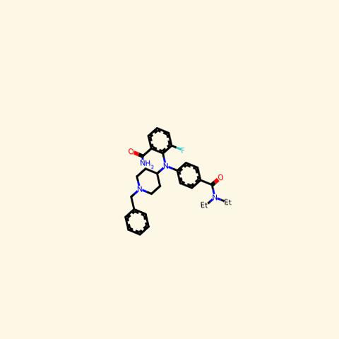 CCN(CC)C(=O)c1ccc(N(c2c(F)cccc2C(N)=O)C2CCN(Cc3ccccc3)CC2)cc1